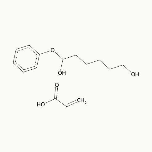 C=CC(=O)O.OCCCCCC(O)Oc1ccccc1